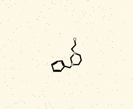 ClCCN1CCCN(Cc2ccccc2)C1